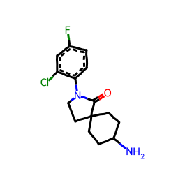 NC1CCC2(CC1)CCN(c1ccc(F)cc1Cl)C2=O